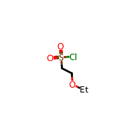 CCOCCS(=O)(=O)Cl